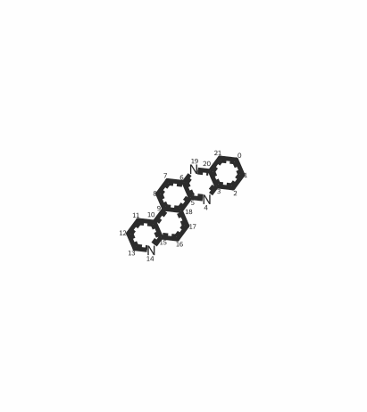 c1ccc2nc3c(ccc4c5cccnc5ccc43)nc2c1